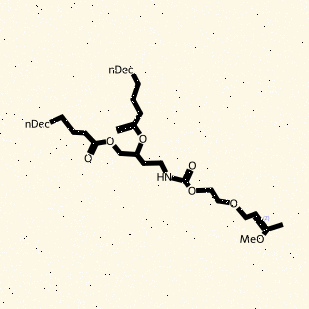 C=C(CCCCCCCCCCCCC)OC(CCNC(=O)OCCOC/C=C(/C)OC)COC(=O)CCCCCCCCCCCCC